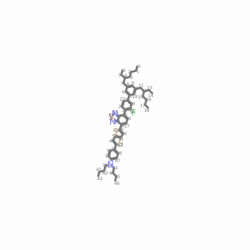 CCCCC(CC)Cc1cc(CC(CC)CCCC)cc(-c2ccc(-c3ccc(-c4cc5sc(-c6ccc(N(CCCC)CCCC)cc6)cc5s4)c4nsnc34)c(F)c2)c1